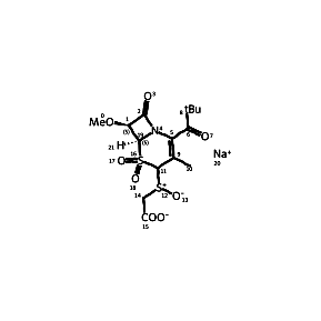 CO[C@H]1C(=O)N2C(C(=O)C(C)(C)C)=C(C)C([S+]([O-])CC(=O)[O-])S(=O)(=O)[C@@H]12.[Na+]